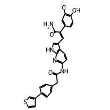 NC(=O)/C(=C\c1c[nH]c2nc(NC(=O)Cc3ccc(-c4ccsc4)cc3)ccc12)c1ccc(O)c(Cl)c1